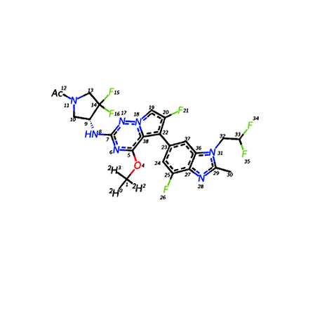 [2H]C([2H])([2H])Oc1nc(N[C@@H]2CN(C(C)=O)CC2(F)F)nn2cc(F)c(-c3cc(F)c4nc(C)n(CC(F)F)c4c3)c12